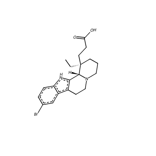 CC[C@]1(CCC(=O)O)CCCN2CCc3c([nH]c4ccc(Br)cc34)[C@@H]21